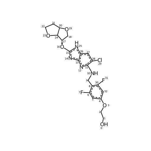 OCCOc1cc(F)c(CNc2nc3nc(O[C@@H]4COC5CCOC54)[nH]c3cc2Cl)c(F)c1